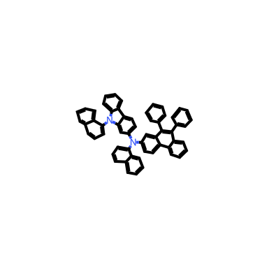 c1ccc(-c2c(-c3ccccc3)c3cc(N(c4ccc5c6ccccc6n(-c6cccc7ccccc67)c5c4)c4cccc5ccccc45)ccc3c3ccccc23)cc1